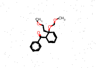 COCCC1(OCOC)C=CC=CC1C(=O)c1ccccc1